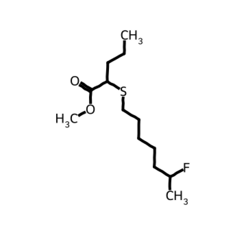 CCCC(SCCCCCC(C)F)C(=O)OC